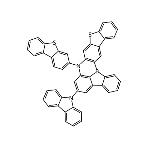 c1ccc2c(c1)B1c3cc4c(cc3N(c3ccc5c(c3)sc3ccccc35)c3cc(-n5c6ccccc6c6ccccc65)cc-2c31)sc1ccccc14